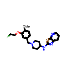 COc1ccc(CN2CCC(Nc3nc4cccnc4s3)CC2)cc1OCCF